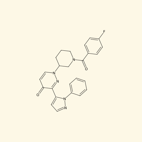 O=C(c1ccc(F)cc1)N1CCCC(n2ccc(=O)c(-c3ccnn3-c3ccccc3)n2)C1